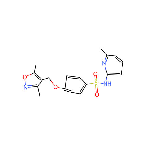 Cc1cccc(NS(=O)(=O)c2ccc(OCc3c(C)noc3C)cc2)n1